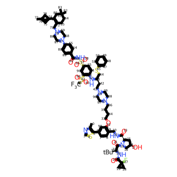 Cc1ncsc1-c1ccc(CNC(=O)[C@@H]2C[C@@H](O)CN2C(=O)[C@@H](NC(=O)C2(F)CC2)C(C)(C)C)c(OCCCCN2CCN(CC[C@H](CSc3ccccc3)Nc3ccc(S(=O)(=O)NC(=O)c4ccc(N5CCN(CC6=C(C78CC(C)(C7)C8)CC(C)(C)CC6)CC5)cc4)cc3S(=O)(=O)C(F)(F)F)CC2)c1